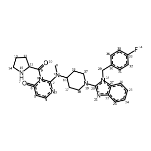 CN(c1nccc(=O)n1C(=O)C1CCCN1)C1CCN(c2nc3ccccc3n2Cc2ccc(F)cc2)CC1